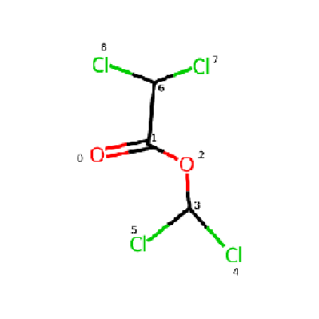 O=C(OC(Cl)Cl)C(Cl)Cl